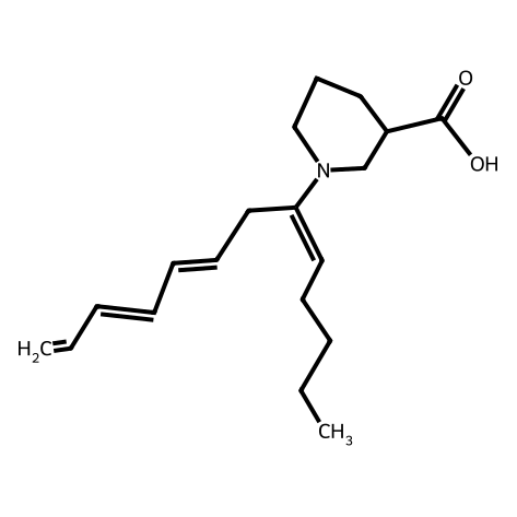 C=CC=CC=CCC(=CCCCC)N1CCCC(C(=O)O)C1